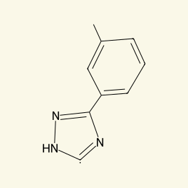 Cc1cccc(-c2n[c][nH]n2)c1